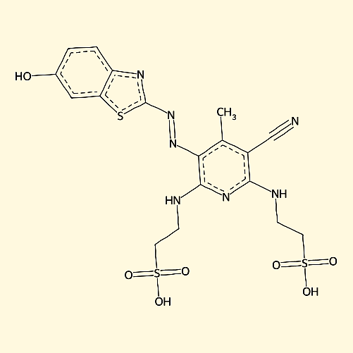 Cc1c(C#N)c(NCCS(=O)(=O)O)nc(NCCS(=O)(=O)O)c1N=Nc1nc2ccc(O)cc2s1